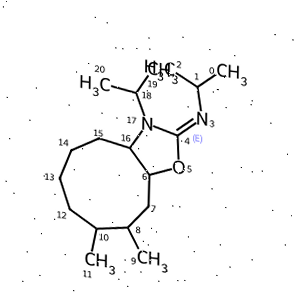 CC(C)/N=C1/OC2CC(C)C(C)CCCCC2N1C(C)C